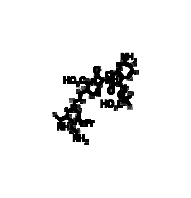 CCC/C=C/[N+](=C\C(NCCN)=C(/C)N)C/C=C/C1=C(C(=O)O)N2C(=O)[C@@H](NC(=O)/C(=N\OC(C)(C)C(=O)O)C3=C(Cl)SC(N)=CC=C3)C2SC1